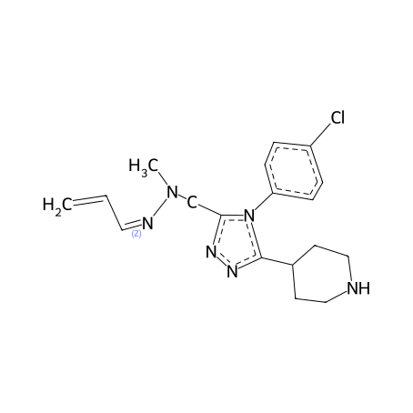 C=C/C=N\N(C)Cc1nnc(C2CCNCC2)n1-c1ccc(Cl)cc1